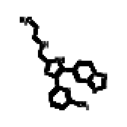 CCCNCc1nc(-c2cccc(C)n2)c(-c2ccn3ncnc3c2)[nH]1